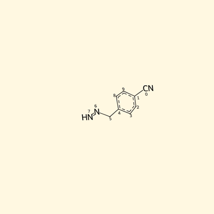 N#Cc1ccc(CN=N)cc1